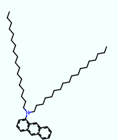 CCCCCCCCCCCCCCCCCCN(CCCCCCCCCCCCCCCCCC)c1cccc2cc3ccccc3cc12